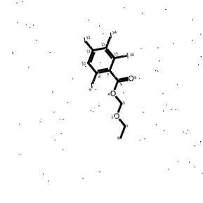 CCOCOC(=O)c1c(I)cc(I)c(I)c1I